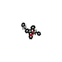 c1ccc(-c2cc(-c3ccccc3-n3c4ccccc4c4ccc(-c5nc6ccccc6s5)cc43)nc(-c3ccccc3)n2)cc1